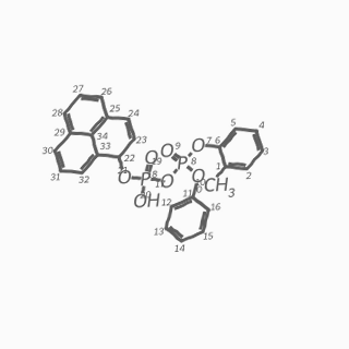 Cc1ccccc1OP(=O)(Oc1ccccc1)OP(=O)(O)OC1C=Cc2cccc3cccc1c23